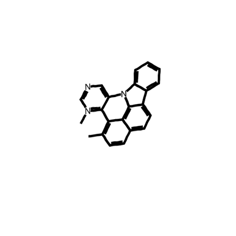 Cc1ccc2ccc3c4ccccc4n4c5cnc[n+](C)c5c1c2c34